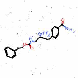 NC(=O)c1ccc(C[C@H](N)CNC(=O)OCCc2ccccc2)cc1